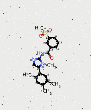 Cc1cc(C)c(-c2cnc(NC(=O)c3cccc(S(C)(=O)=O)c3)n2C)cc1C